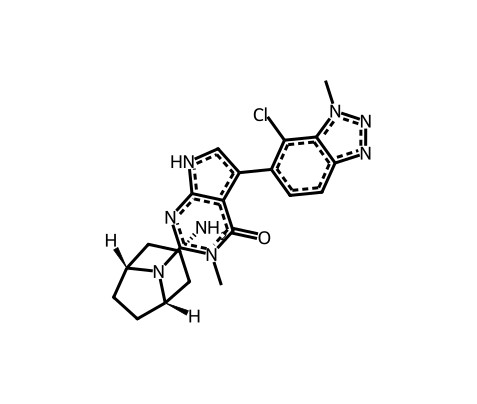 Cn1c(N2[C@@H]3CC[C@H]2C[C@@H](N)C3)nc2[nH]cc(-c3ccc4nnn(C)c4c3Cl)c2c1=O